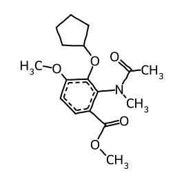 COC(=O)c1ccc(OC)c(OC2CCCC2)c1N(C)C(C)=O